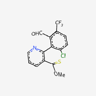 COC(=S)c1cccnc1-c1c(Cl)ccc(C(F)(F)F)c1C=O